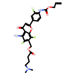 C=CCOC(=O)Nc1ccc(-c2cc(=O)c3c(N)c(F)c(COC(=O)CCCN(C)C)c(F)c3o2)cc1F